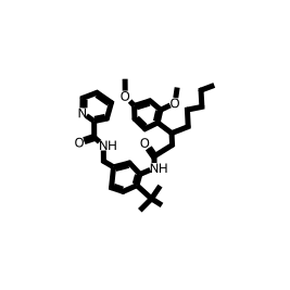 CCCCCC(CC(=O)Nc1cc(CNC(=O)c2ccccn2)ccc1C(C)(C)C)c1ccc(OC)cc1OC